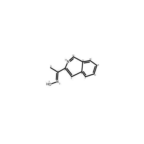 CC(=NO)c1cc2ccccc2cn1